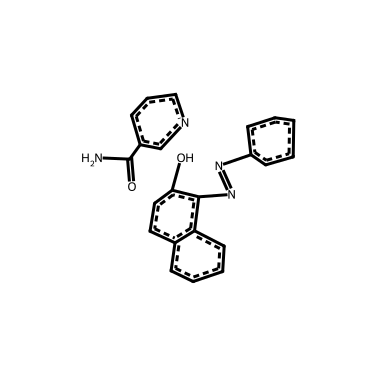 NC(=O)c1cccnc1.Oc1ccc2ccccc2c1N=Nc1ccccc1